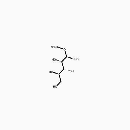 CCCCCO[C@@H](C=O)[C@@H](O)[C@H](O)[C@H](O)CO